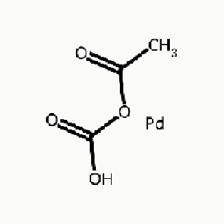 CC(=O)OC(=O)O.[Pd]